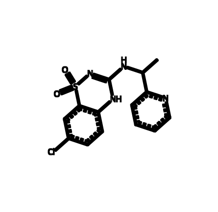 CC(NC1=NS(=O)(=O)c2cc(Cl)ccc2N1)c1ccccn1